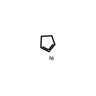 C1=CCCC=1.[Ni]